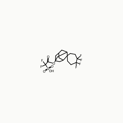 O=C(OC12CC3CC(C1)C1(CCC(F)(F)C(F)(F)CC1)C(C3)C2)C(F)(F)S(=O)(=O)O